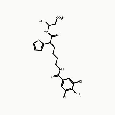 Nc1c(Cl)cc(C(=O)NCCCCC(C(=O)NC(C=O)CC(=O)O)c2cccs2)cc1Cl